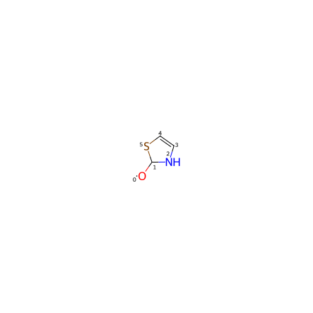 [O]C1NC=CS1